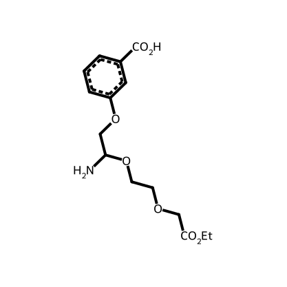 CCOC(=O)COCCOC(N)COc1cccc(C(=O)O)c1